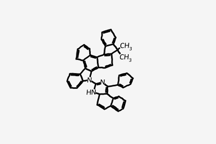 CC1(C)c2ccccc2-c2c1ccc1c2c2ccccc2c2c3ccccc3n(C3=NC(c4ccccc4)=C4c5ccccc5C=CC4N3)c12